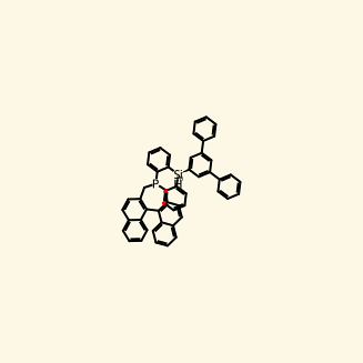 c1ccc(-c2cc(-c3ccccc3)cc([Si@@H](c3ccccc3)c3ccccc3P3Cc4ccc5ccccc5c4-c4c(ccc5ccccc45)C3)c2)cc1